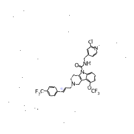 O=C(NCc1ccnc(Cl)c1)n1c2c(c3c(OC(F)(F)F)cccc31)CN(C/C=C/c1ccc(C(F)(F)F)cc1)CC2